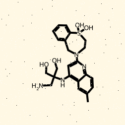 Cc1ccc2nc(N3CCS(O)(O)c4ccccc4C3)cc(NC(CN)(CO)CO)c2c1